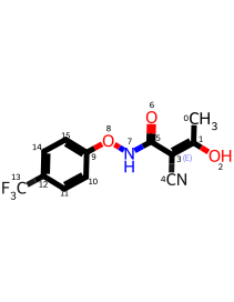 C/C(O)=C(/C#N)C(=O)NOc1ccc(C(F)(F)F)cc1